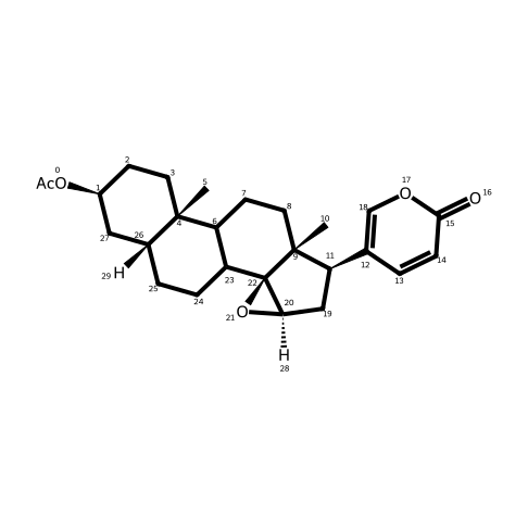 CC(=O)O[C@H]1CC[C@]2(C)C3CC[C@]4(C)[C@@H](c5ccc(=O)oc5)C[C@H]5O[C@]54C3CC[C@@H]2C1